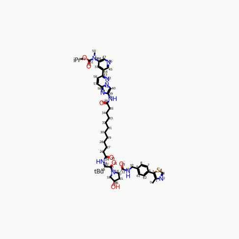 Cc1ncsc1-c1ccc(CNC(=O)[C@@H]2C[C@@H](O)CN2C(=O)[C@@H](NC(=O)CCCCCCCCCCC(=O)Nc2cn3nc(-c4cncc(N(C)C(=O)OC(C)C)c4)ccc3n2)C(C)(C)C)cc1